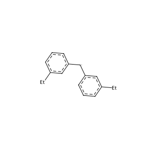 CCc1cccc([CH]c2cccc(CC)c2)c1